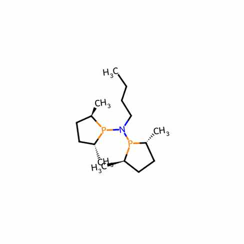 CCCCN(P1[C@H](C)CC[C@H]1C)P1[C@H](C)CC[C@H]1C